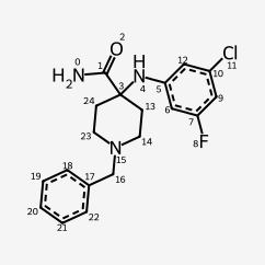 NC(=O)C1(Nc2cc(F)cc(Cl)c2)CCN(Cc2ccccc2)CC1